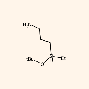 CC[SiH](CCCN)OC(C)(C)C